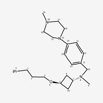 CC(C)CCCO[C@H]1C[C@H](N(C)Cc2ccc(N3CCN(C)CC3)cc2)C1